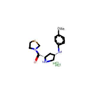 COc1ccc(N[C@@H]2CN[C@H](C(=O)N3CCSC3)C2)cc1.Cl.Cl